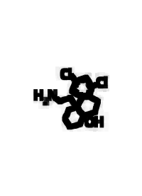 NCCC12CCCCC1(O)CCc1c(Cl)cc(Cl)cc12